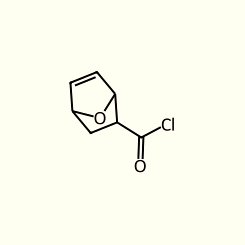 O=C(Cl)C1CC2C=CC1O2